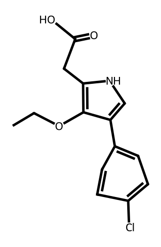 CCOc1c(-c2ccc(Cl)cc2)c[nH]c1CC(=O)O